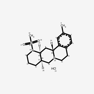 Cc1ccc2c(c1)[C@H]1C[C@H]3[C@H](CCCN3S(C)(=O)=O)CN1CC2.Cl